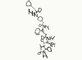 CC(C)[C@H](NC(=O)C[C@H](NC(=O)Cc1ccc(NC(=O)c2ccccc2)cc1)c1ccccc1)C(=O)[C@@H]1C(=O)NC(=O)[C@H]1C